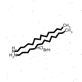 Br.CCCCCCCCCCCCCCN.CCCCCCCCCCCCCCN.Cl